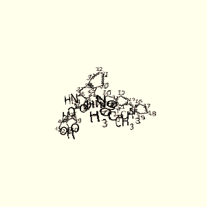 CC(C)(C)CS(=O)(=O)NN(Cc1ccc(-c2ccccn2)cc1)C[C@H](O)[C@H](Cc1ccccc1)NC(=O)O[C@H]1CO[C@H]2OCC[C@H]21